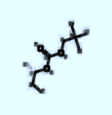 C[CH][C@H](C)OC(=O)OCC(C)(C)C